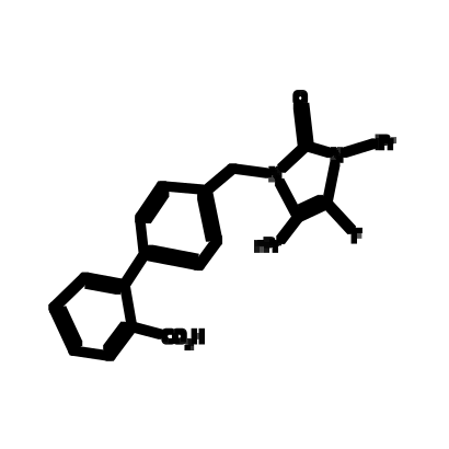 CCCc1c(F)n(C(C)C)c(=O)n1Cc1ccc(-c2ccccc2C(=O)O)cc1